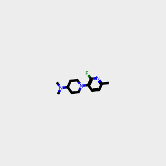 Cc1ccc(N2CCC(N(C)C)CC2)c(F)n1